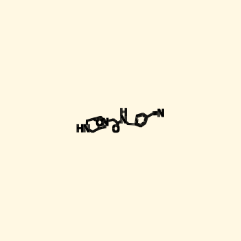 N#Cc1ccc(CNC(=O)CN2CC3CNCC(C2)O3)cc1